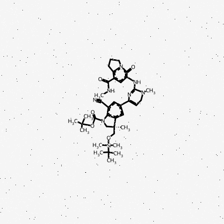 CNC(=O)c1cc(NC2=NC(c3cc(C#N)c4c(c3)[C@@](C)(CO[Si](C)(C)C(C)(C)C)CN4C(=O)OC(C)(C)C)=CCN2C)c(=O)n2c1CCC2